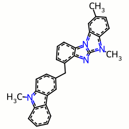 Cc1ccc2c(c1)n1c3cccc(Cc4ccc5c(c4)c4ccccc4n5C)c3nc1n2C